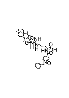 Cc1c(C)c(S(=O)(=O)NC(=N)NCCC[C@H](NC(=O)c2ccn(Cc3ccccc3)c(=O)c2)C(=O)O)c(C)c2c1OC(C)(C)CC2